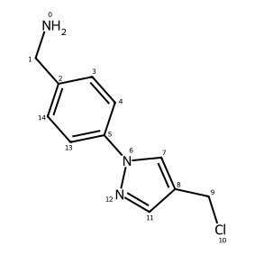 NCc1ccc(-n2cc(CCl)cn2)cc1